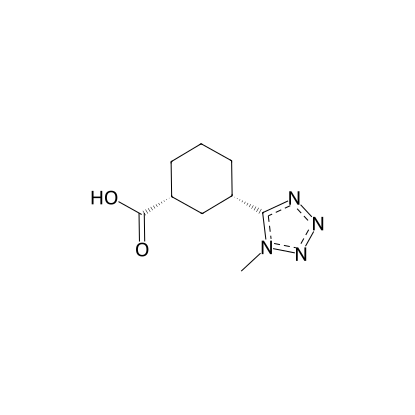 Cn1nnnc1[C@H]1CCC[C@@H](C(=O)O)C1